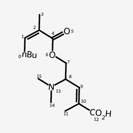 CCCCC=C(C)C(=O)OCC(C=C(C)C(=O)O)N(C)C